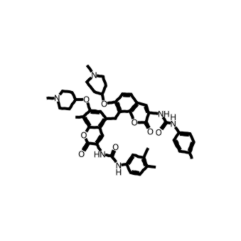 Cc1ccc(NC(=O)Nc2cc3ccc(OC4CCN(C)CC4)c(Cc4cc(OC5CCN(C)CC5)c(C)c5oc(=O)c(NC(=O)Nc6ccc(C)c(C)c6)cc45)c3oc2=O)cc1